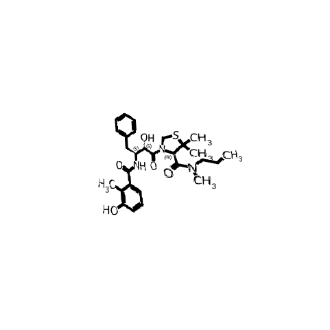 CCCN(C)C(=O)[C@H]1N(C(=O)[C@@H](O)[C@H](Cc2ccccc2)NC(=O)c2cccc(O)c2C)CSC1(C)C